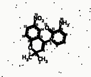 CC1(C)C=C(n2cccc(N)c2=O)c2cc([N+](=O)[O-])ccc2O1